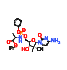 CC(C)OC(=O)C(C)N[P@@](=O)(OC[C@H]1O[C@@H](n2ccc(N)nc2=O)[C@](C)(C#N)[C@@H]1O)Oc1ccccc1